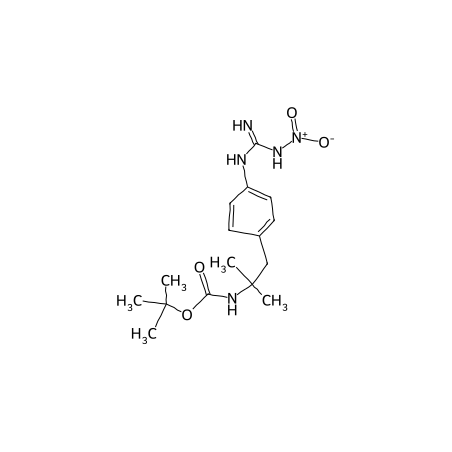 CC(C)(Cc1ccc(NC(=N)N[N+](=O)[O-])cc1)NC(=O)OC(C)(C)C